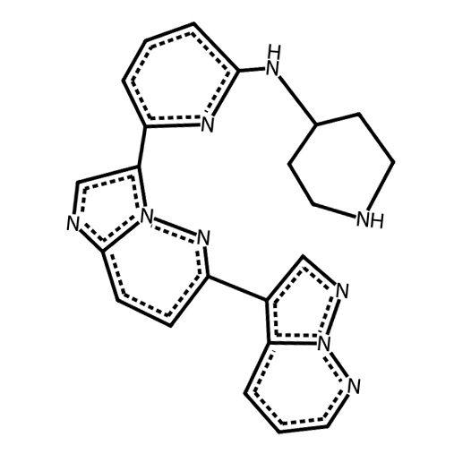 c1cc(NC2CCNCC2)nc(-c2cnc3ccc(-c4cnn5ncccc45)nn23)c1